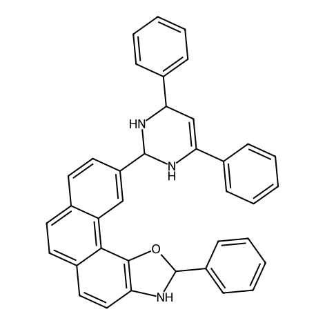 C1=C(c2ccccc2)NC(c2ccc3ccc4ccc5c(c4c3c2)OC(c2ccccc2)N5)NC1c1ccccc1